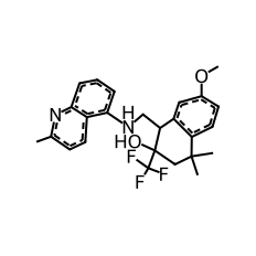 COc1ccc2c(c1)C(CNc1cccc3nc(C)ccc13)C(O)(C(F)(F)F)CC2(C)C